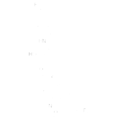 O[C@H](CNCc1ccc(F)cc1)COc1ccc(-c2noc3cc(F)ccc23)cc1